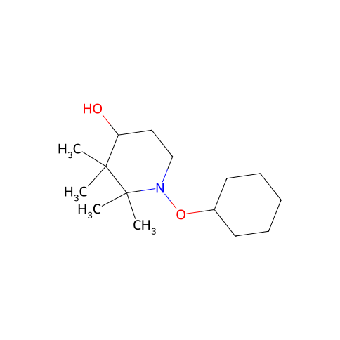 CC1(C)C(O)CCN(OC2CCCCC2)C1(C)C